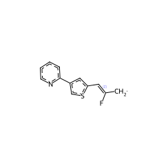 [CH2]/C(F)=C/c1cc(-c2ccccn2)cs1